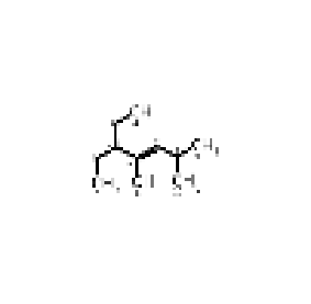 CCC(CC)C(O)=CC(C)C